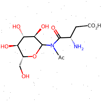 CC(=O)N(C(=O)[C@@H](N)CC(=O)O)C1O[C@H](CO)[C@@H](O)[C@H](O)[C@H]1O